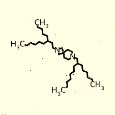 CCCCCCCC(CCCCCC)CN1CCC2(CC1)CN(CCC(CCCCC)CCCCCC)C2